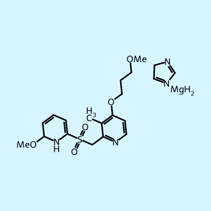 C1=NC=NC1.COCCCOc1ccnc(CS(=O)(=O)C2=CC=CC(OC)N2)c1C.[MgH2]